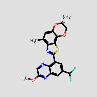 [CH2][C@@H]1COc2c(cc(C)c3nc(-c4cc(C(F)F)cc5nc(OC)cnc45)sc23)O1